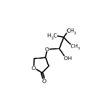 CC(C)(C)C(O)OC1COC(=O)C1